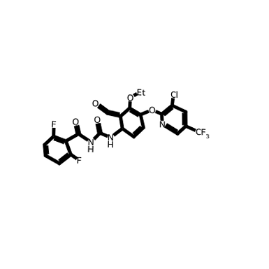 CCOC1=C(Oc2ncc(C(F)(F)F)cc2Cl)C=CC(NC(=O)NC(=O)c2c(F)cccc2F)C1=C=O